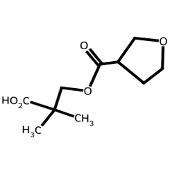 CC(C)(COC(=O)C1CCOC1)C(=O)O